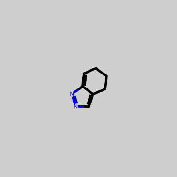 C1=C2CCCC=C2N=N1